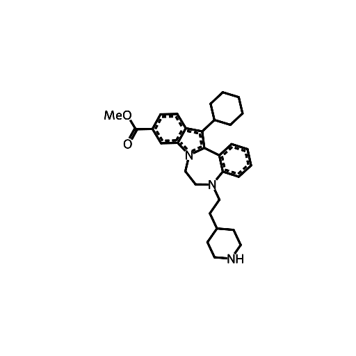 COC(=O)c1ccc2c(C3CCCCC3)c3n(c2c1)CCN(CCC1CCNCC1)c1ccccc1-3